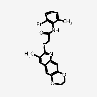 CCc1cccc(C)c1NC(=O)CSc1nc2cc3c(cc2cc1C)OCCO3